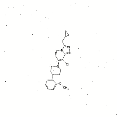 COc1ccccc1C1CCN(c2ccn3c(CC4CC4)nnc3c2Cl)CC1